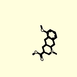 COC(=O)C1CC2Cc3c(cccc3OC)CC2N(C)C1